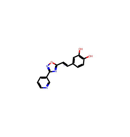 Oc1ccc(/C=C/c2nc(-c3cccnc3)no2)cc1O